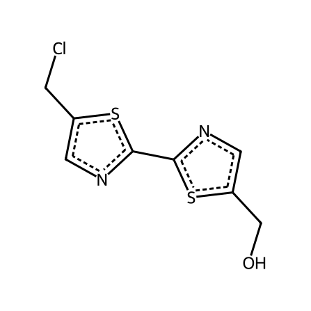 OCc1cnc(-c2ncc(CCl)s2)s1